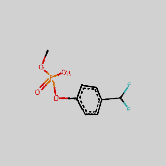 COP(=O)(O)Oc1ccc(C(F)F)cc1